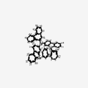 c1ccc([Si]2(c3ccccc3)c3ccccc3-c3ccc(N(c4ccc5c(c4)sc4ccccc45)c4cc5ccccc5c5ccccc45)cc32)cc1